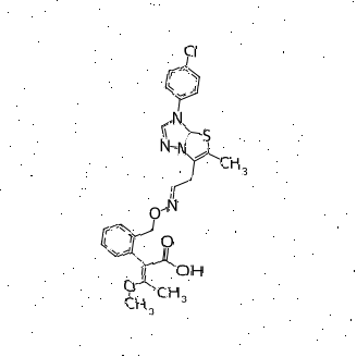 COC(C)=C(C(=O)O)c1ccccc1CON=CCC1=C(C)SC2N1N=CN2c1ccc(Cl)cc1